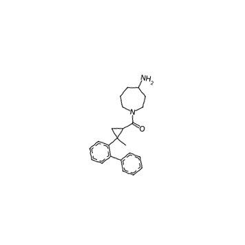 CC1(c2ccccc2-c2ccccc2)CC1C(=O)N1CCCC(N)CC1